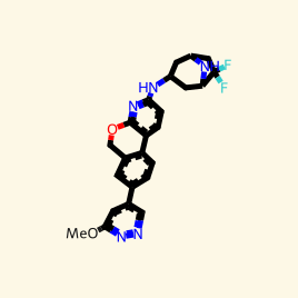 COc1cc(-c2ccc3c(c2)COc2nc(NC4CC5CC(F)(F)C(C4)N5)ccc2-3)cnn1